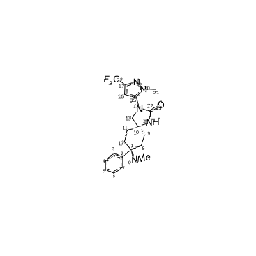 CN[C@]1(c2ccccc2)CC[C@]2(CC1)CN(c1cc(C(F)(F)F)nn1C)C(=O)N2